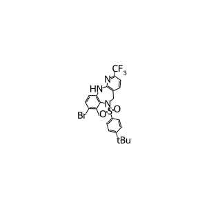 Cc1c(Br)ccc2c1N(S(=O)(=O)c1ccc(C(C)(C)C)cc1)Cc1ccc(C(F)(F)F)nc1N2